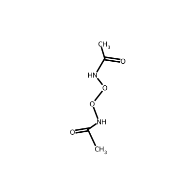 CC(=O)NOONC(C)=O